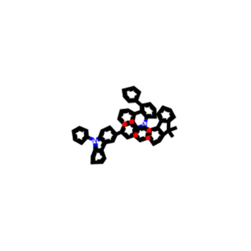 CC1(C)c2ccccc2-c2c(N(c3ccc(-c4ccc5c(c4)c4ccccc4n5-c4ccccc4)cc3)c3cccc(-c4ccccc4)c3-c3ccccc3-c3ccccc3)cccc21